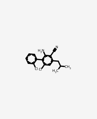 CC(C)Cc1cc(Cl)c(-c2ccccc2Cl)c(N)c1C#N